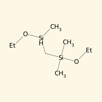 CCO[SiH](C)C[Si](C)(C)OCC